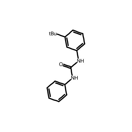 CC(C)(C)c1cccc(NC(=O)Nc2ccccc2)c1